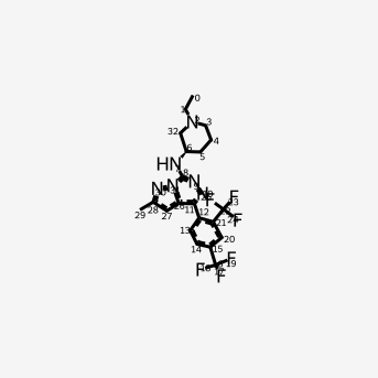 CCN1CCC[C@@H](Nc2nnc(-c3ccc(C(F)(F)F)cc3C(F)(F)F)c3cc(C)nn23)C1